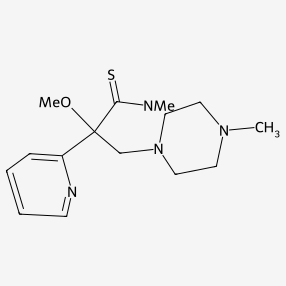 CNC(=S)C(CN1CCN(C)CC1)(OC)c1ccccn1